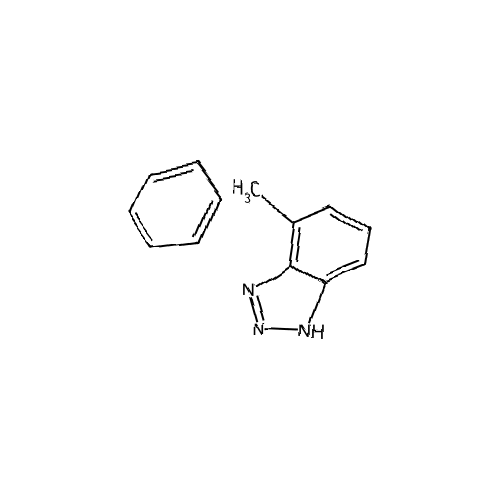 Cc1cccc2[nH]nnc12.c1ccccc1